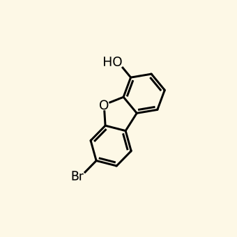 Oc1cccc2c1oc1cc(Br)ccc12